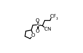 N#CC(CCC(F)(F)F)S(=O)(=O)CC1CCCO1